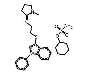 CN1CCCC1=NCCSc1cn(-c2ccccc2)c2ccccc12.NS(=O)(=O)OC1CCCCC1